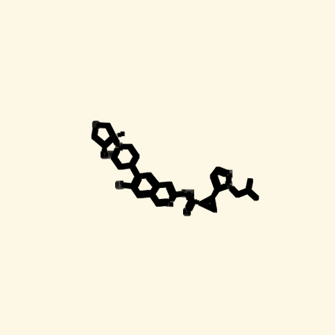 CC(C)Cn1nccc1[C@H]1C[C@@H]1C(=O)Nc1cc2cc(C3CCN([C@]4(C)COC[C@@H]4O)CC3)c(Cl)cc2cn1